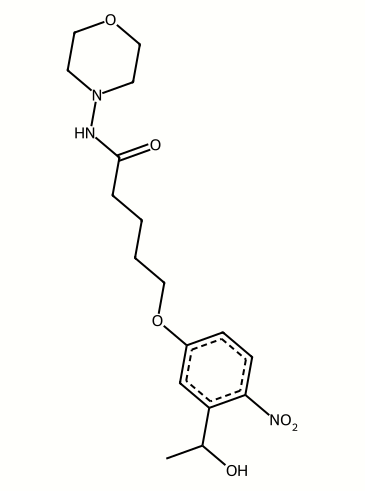 CC(O)c1cc(OCCCCC(=O)NN2CCOCC2)ccc1[N+](=O)[O-]